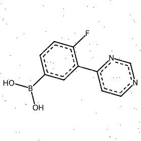 OB(O)c1ccc(F)c(-c2ccncn2)c1